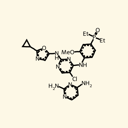 CCP(=O)(CC)c1ccc(Nc2nc(Nc3cnc(C4CC4)o3)ncc2Cl)c(OC)c1.Nc1ccnc(N)n1